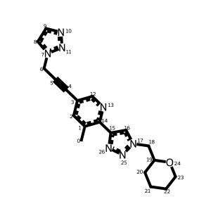 Cc1cc(C#CCn2ccnn2)cnc1-c1cn(CC2CCCCO2)nn1